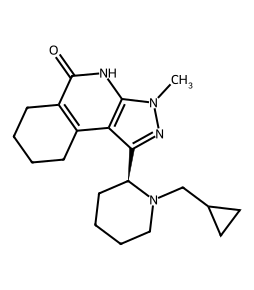 Cn1nc([C@@H]2CCCCN2CC2CC2)c2c3c(c(=O)[nH]c21)CCCC3